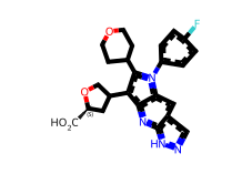 O=C(O)[C@@H]1CC(c2c(C3CCOCC3)n(-c3ccc(F)cc3)c3cc4cn[nH]c4nc23)CO1